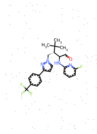 CC(C)(C)[C@@H](Cn1ccc(-c2ccc(C(F)(F)F)cc2)n1)C([C]=O)Nc1cccc(F)n1